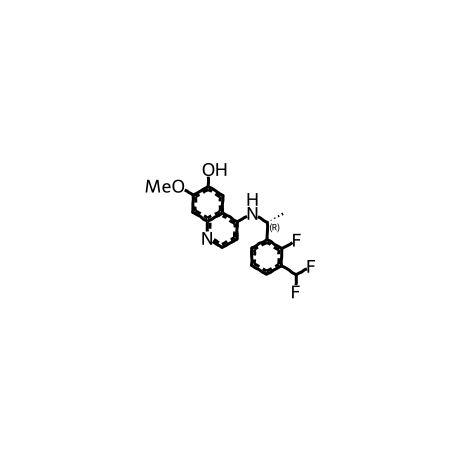 COc1cc2nccc(N[C@H](C)c3cccc(C(F)F)c3F)c2cc1O